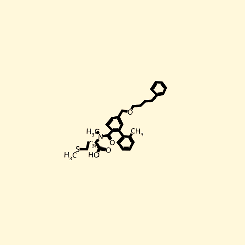 CSCC[C@@H](C(=O)O)N(C)C(=O)c1ccc(COCCCCc2ccccc2)cc1-c1ccccc1C